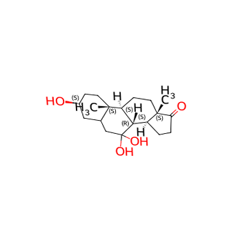 C[C@]12CC[C@H](O)CC1CC(O)(O)[C@@H]1[C@@H]2CC[C@]2(C)C(=O)CC[C@@H]12